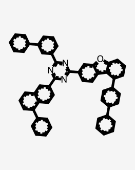 c1ccc(-c2ccc(-c3cccc4oc5cc(-c6nc(-c7cccc(-c8ccccc8)c7)nc(-c7ccc8c(-c9ccccc9)cccc8c7)n6)ccc5c34)cc2)cc1